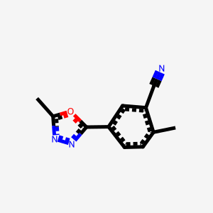 Cc1nnc(-c2ccc(C)c(C#N)c2)o1